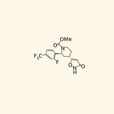 COC(=O)N1CC[C@H](c2cc(=O)[nH]o2)C[C@H]1c1ccc(C(F)(F)F)cc1F